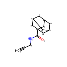 C#CCNC(=O)C12CC3CC(CC(C3)C1)C2